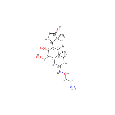 CC12CCC3C(C(O)C(CO)C4C/C(=N/OCCN)CCC43C)C1CCC2=O